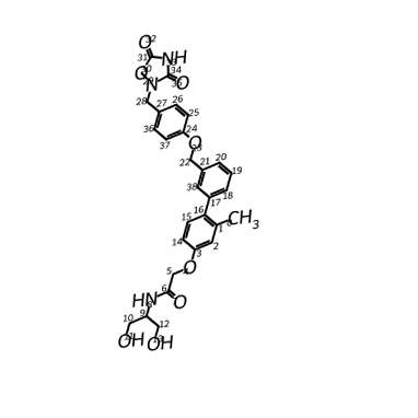 Cc1cc(OCC(=O)NC(CO)CO)ccc1-c1cccc(COc2ccc(Cn3oc(=O)[nH]c3=O)cc2)c1